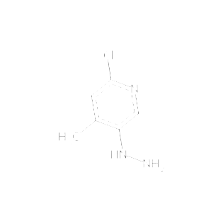 Cc1cc(Cl)ncc1NN